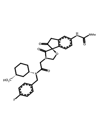 CNC(=O)Nc1ccc2c(c1)CC(=O)[C@]21OCN(CC(=O)N(Cc2ccc(F)cc2)[C@H]2CCC[C@@H](C(=O)O)C2)C1=O